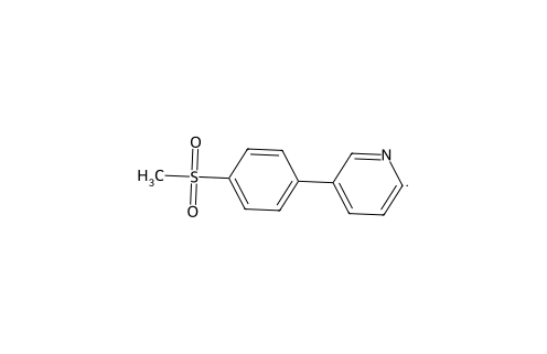 CS(=O)(=O)c1ccc(-c2cc[c]nc2)cc1